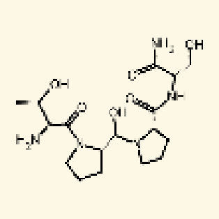 C[C@@H](O)[C@H](N)C(=O)N1CCC[C@H]1C(O)N1CCC[C@H]1C(=O)N[C@@H](CO)C(N)=O